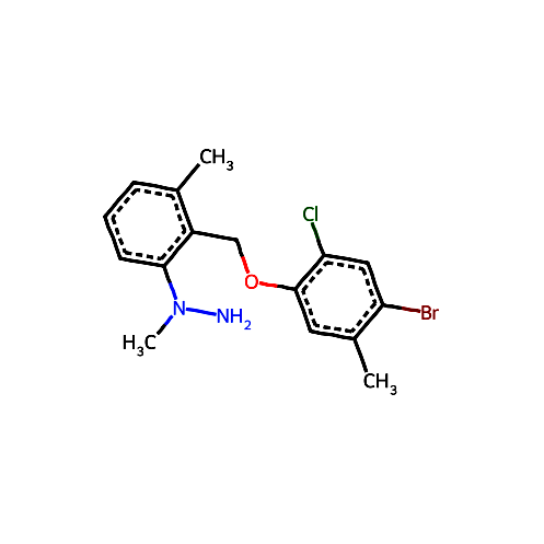 Cc1cc(OCc2c(C)cccc2N(C)N)c(Cl)cc1Br